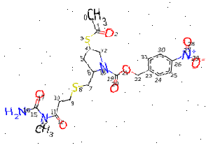 CC(=O)SC1CC(CSCCC(=O)N(C)C(N)=O)N(C(=O)OCc2ccc([N+](=O)[O-])cc2)C1